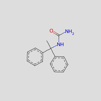 CC(NC(N)=O)(c1ccccc1)c1ccccc1